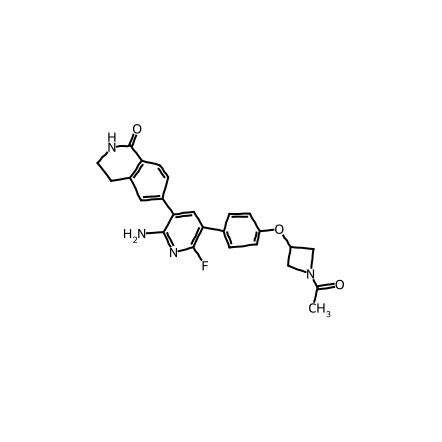 CC(=O)N1CC(Oc2ccc(-c3cc(-c4ccc5c(c4)CCNC5=O)c(N)nc3F)cc2)C1